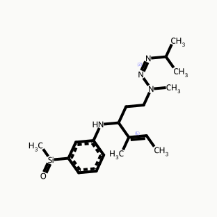 C/C=C(\C)C(CCN(C)/N=N\C(C)C)Nc1cccc([Si](C)=O)c1